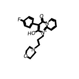 O=c1c(-c2ccc(F)cc2)c(O)[n+](CCCN2CCOCC2)c2ccccn12